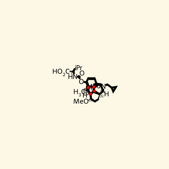 CO[C@@]12CC[C@@]3(C[C@@H]1[C@@](C)(O)C(C)(C)C)[C@H]1Cc4ccc(OC(=O)N[C@@H](C(=O)O)C(C)C)c5c4[C@@]3(CCN1CC1CC1)C2O5